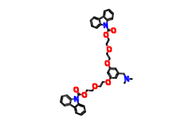 CN(C)Cc1cc(OCCOCCOC(=O)n2c3ccccc3c3ccccc32)cc(OCCOCCOC(=O)n2c3ccccc3c3ccccc32)c1